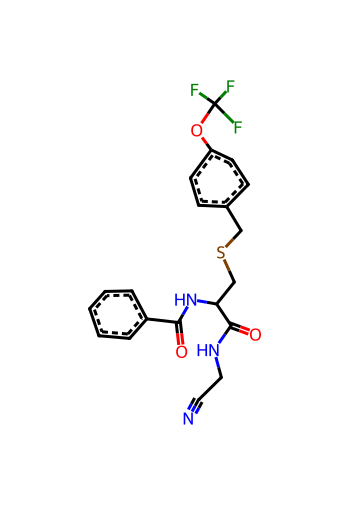 N#CCNC(=O)C(CSCc1ccc(OC(F)(F)F)cc1)NC(=O)c1ccccc1